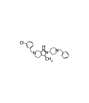 C=C1C2=C(CN(Cc3cccc(Cl)c3)CC2)NN1C1CCN(Cc2ccccc2)CC1